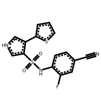 N#Cc1ccc(NS(=O)(=O)c2c[nH]cc2-c2cccs2)c(F)c1